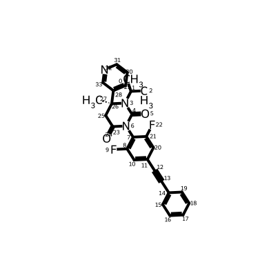 CC(C)N1C(=O)N(c2c(F)cc(C#Cc3ccccc3)cc2F)C(=O)C[C@@]1(C)c1cccnc1